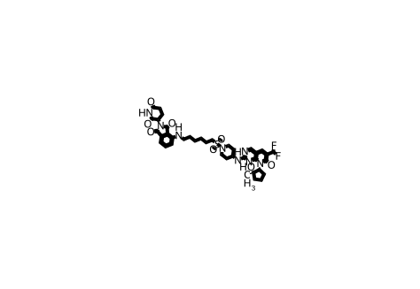 C[C@@]1(O)CCC[C@H]1n1c(=O)c(C(F)F)cc2cnc(NC3CCN(S(=O)(=O)CCCCCCNc4cccc5c4C(=O)N(C4CCC(=O)NC4=O)C5=O)CC3)nc21